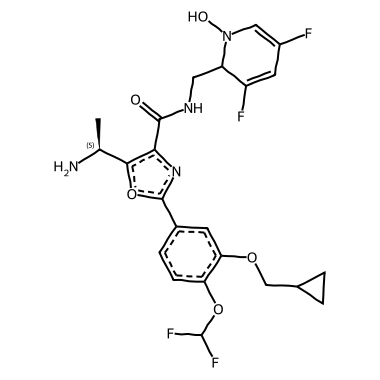 C[C@H](N)c1oc(-c2ccc(OC(F)F)c(OCC3CC3)c2)nc1C(=O)NCC1C(F)=CC(F)=CN1O